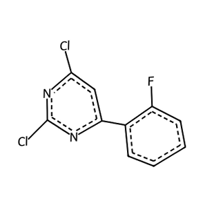 Fc1ccccc1-c1cc(Cl)nc(Cl)n1